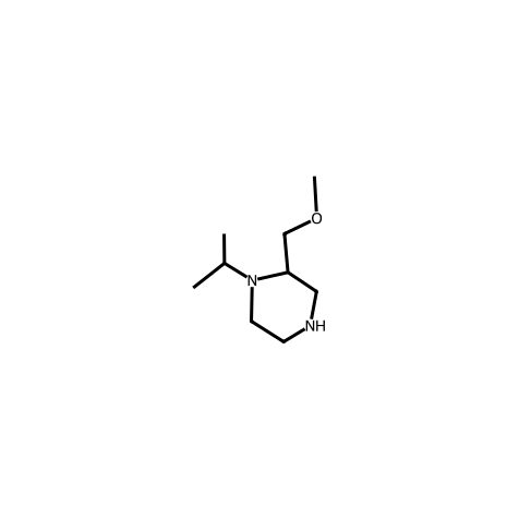 COCC1CNCCN1C(C)C